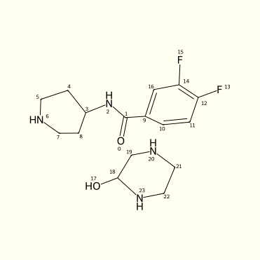 O=C(NC1CCNCC1)c1ccc(F)c(F)c1.OC1CNCCN1